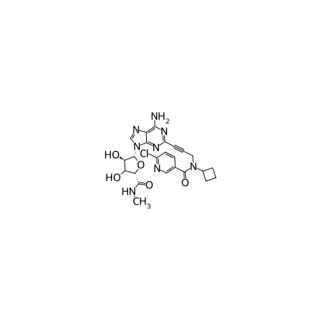 CNC(=O)[C@H]1O[C@@H](n2cnc3c(N)nc(C#CCN(C(=O)c4ccc(Cl)nc4)C4CCC4)nc32)[C@H](O)C1O